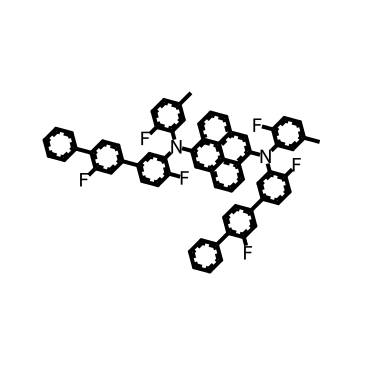 Cc1ccc(F)c(N(c2cc(-c3ccc(-c4ccccc4)c(F)c3)ccc2F)c2cc3cccc4c(N(c5cc(C)ccc5F)c5cc(-c6ccc(-c7ccccc7)c(F)c6)ccc5F)cc5cccc2c5c34)c1